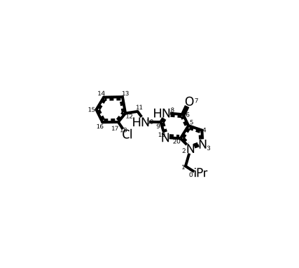 CC(C)Cn1ncc2c(=O)[nH]c(NCc3ccccc3Cl)nc21